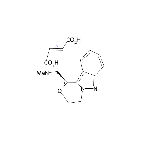 CNC[C@@H]1OCCn2nc3ccccc3c21.O=C(O)/C=C/C(=O)O